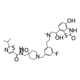 CC(C)c1ncc(C(=O)NCC2(O)CCN(Cc3cc(F)cc(CCN(C)C[C@H](O)c4ccc(O)c5[nH]c(=O)sc45)c3)CC2)s1